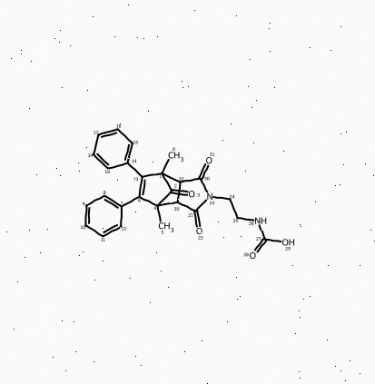 CC12C(=O)C(C)(C(c3ccccc3)=C1c1ccccc1)C1C(=O)N(CCNC(=O)O)C(=O)C12